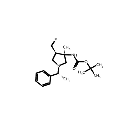 C[C@H](c1ccccc1)N1C[C@@H](CF)[C@@](C)(NC(=O)OC(C)(C)C)C1